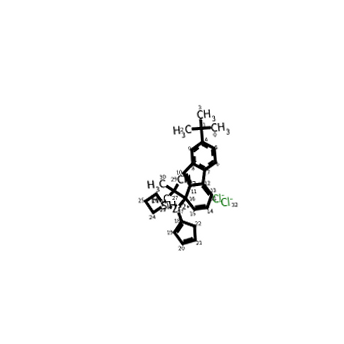 CC(C)(C)c1ccc2c(c1)C=C1C2=CC=C[C]1([Zr+2]([C]1=CC=CC1)[SiH]1CCC1)C(C)(C)C.[Cl-].[Cl-]